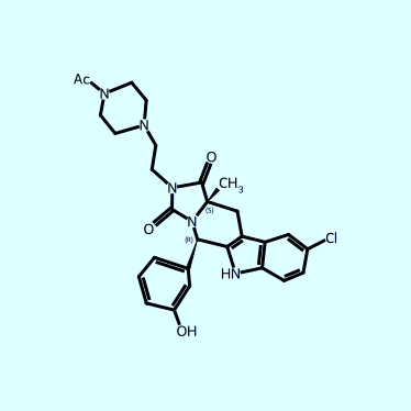 CC(=O)N1CCN(CCN2C(=O)N3[C@H](c4cccc(O)c4)c4[nH]c5ccc(Cl)cc5c4C[C@@]3(C)C2=O)CC1